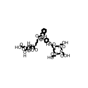 Cc1ccccc1C[C@H](NC(=O)[C@H]1CC[C@H](CNC(=O)CN2CCN(CC(=O)O)CCN(CC(=O)O)CCN(CC(=O)O)CC2)CC1)C(=O)NCCCC[C@H](NC(=O)N[C@@H](CCC(=O)O)C(=O)C(=O)O)C(=O)O